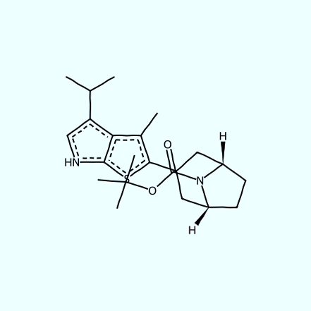 Cc1c(C2C[C@H]3CC[C@@H](C2)N3C(=O)OC(C)(C)C)sc2[nH]cc(C(C)C)c12